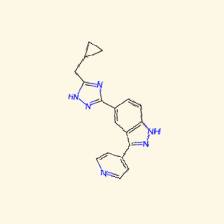 c1cc(-c2n[nH]c3ccc(-c4n[nH]c(CC5CC5)n4)cc23)ccn1